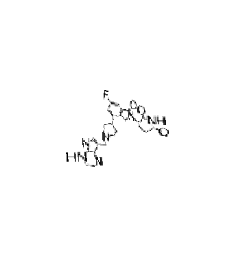 O=C1CCC(N2Cc3c(cc(F)cc3C3CCN(Cc4cnc5[nH]ccnc4-5)CC3)C2=O)C(=O)N1